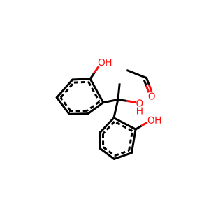 CC(O)(c1ccccc1O)c1ccccc1O.CC=O